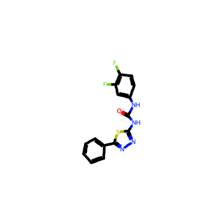 O=C(Nc1ccc(F)c(F)c1)Nc1nnc(-c2ccccc2)s1